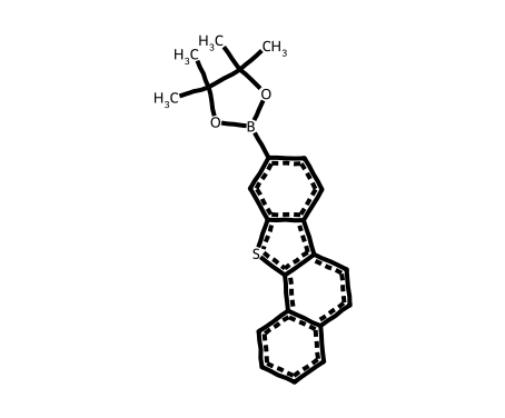 CC1(C)OB(c2ccc3c(c2)sc2c4ccccc4ccc32)OC1(C)C